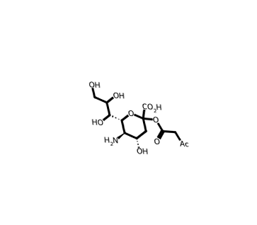 CC(=O)CC(=O)OC1(C(=O)O)C[C@H](O)[C@@H](N)[C@H](C(O)C(O)CO)O1